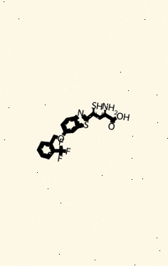 N[C@H](C[C@H](S)c1nc2ccc(OCc3ccccc3C(F)(F)F)cc2s1)C(=O)O